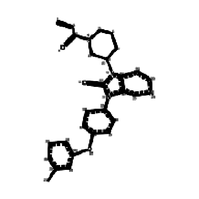 C=CC(=O)N1CCC[C@@H](n2c(=O)n(-c3ccc(Oc4cccc(C)c4)cc3)c3cnccc32)C1